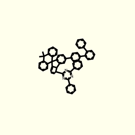 CC1(C)c2ccccc2C2(C3=CC=CC(c4nc(-c5ccccc5)nc(-c5ccccc5)n4)C3c3cc(-c4ccc(-c5ccccc5-c5ccccc5)cc4)ccc32)c2ccccc21